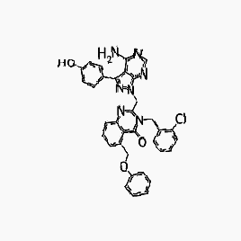 Nc1ncnc2c1c(-c1ccc(O)cc1)nn2Cc1nc2cccc(COc3ccccc3)c2c(=O)n1Cc1ccccc1Cl